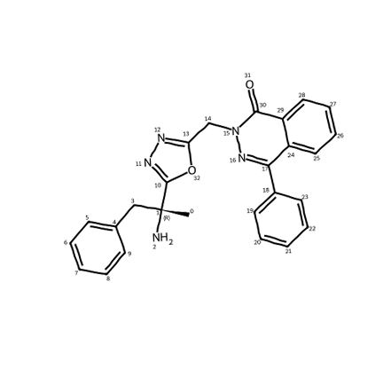 C[C@@](N)(Cc1ccccc1)c1nnc(Cn2nc(-c3ccccc3)c3ccccc3c2=O)o1